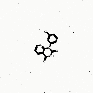 O=c1[nH]c(=O)n(-c2cccc(Cl)c2)c2ncccc12